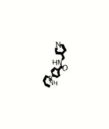 O=C(NCc1ccncc1)c1ccc(B2C=CC=CN2)cc1